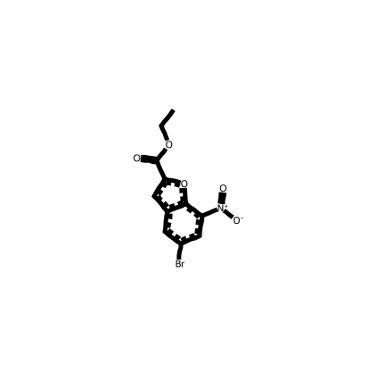 CCOC(=O)c1cc2cc(Br)cc([N+](=O)[O-])c2o1